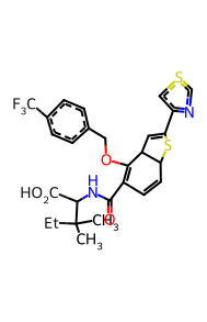 CCC(C)(C)C(NC(=O)C1=C(OCc2ccc(C(F)(F)F)cc2)C2C=C(c3cscn3)SC2C=C1)C(=O)O